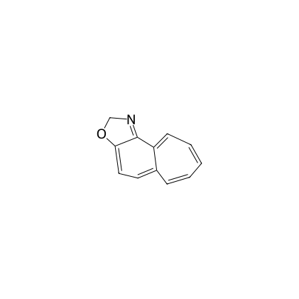 C1=CC=c2c(ccc3c2=NCO3)C=C1